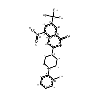 O=c1nc(N2CCN(c3ccccc3F)CC2)sc2c([N+](=O)[O-])cc(C(F)(F)F)cc12